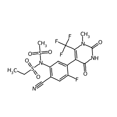 CCS(=O)(=O)N(c1cc(-c2c(C(F)(F)F)n(C)c(=O)[nH]c2=O)c(F)cc1C#N)S(C)(=O)=O